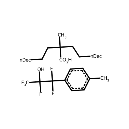 CCCCCCCCCCCCC(C)(CCCCCCCCCCCC)C(=O)O.Cc1ccc(C(F)(F)C(O)(F)C(F)(F)F)cc1